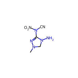 CN1CN(N)C(N(C#N)[N+](=O)[O-])=N1